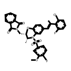 COc1cc(S(=O)(=O)N2c3cc(/C=C(\C)c4c(F)cccc4Cl)ccc3O[C@@H](CN3C(=O)c4ccccc4C3=O)[C@H]2C)ccc1F